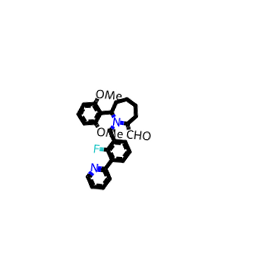 COc1cccc(OC)c1C1CCCCC(C=O)N1Cc1cccc(-c2ccccn2)c1F